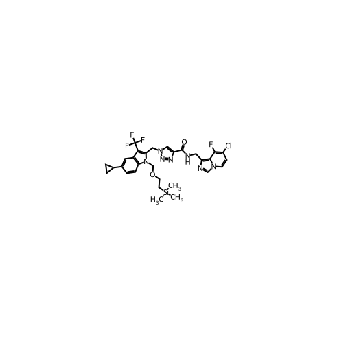 C[Si](C)(C)CCOCn1c(Cn2cc(C(=O)NCc3ncn4ccc(Cl)c(F)c34)nn2)c(C(F)(F)F)c2cc(C3CC3)ccc21